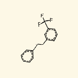 FC(F)(F)c1cccc(C[CH]c2ccccc2)c1